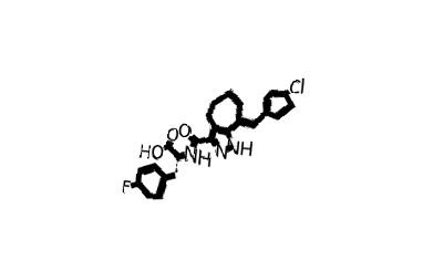 O=C(N[C@H](Cc1ccc(F)cc1)C(=O)O)c1n[nH]c2c1CCCCC2=Cc1ccc(Cl)cc1